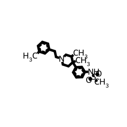 Cc1cccc(CCN2CCC(C)(c3cccc(NS(C)(=O)=O)c3)C(C)C2)c1